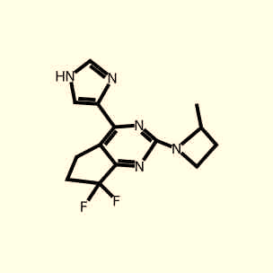 CC1CCN1c1nc(-c2c[nH]cn2)c2c(n1)C(F)(F)CC2